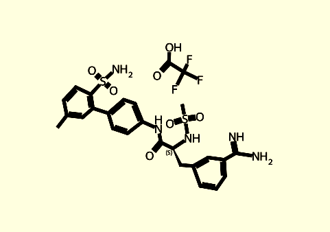 Cc1ccc(S(N)(=O)=O)c(-c2ccc(NC(=O)[C@H](Cc3cccc(C(=N)N)c3)NS(C)(=O)=O)cc2)c1.O=C(O)C(F)(F)F